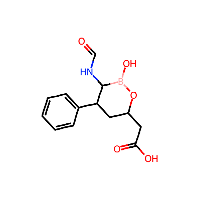 O=CNC1B(O)OC(CC(=O)O)CC1c1ccccc1